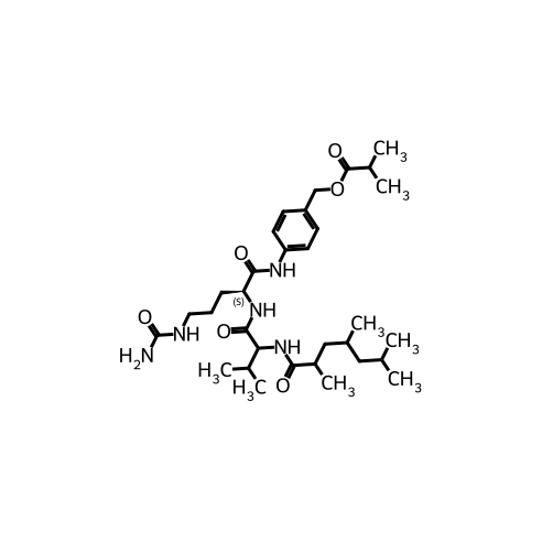 CC(C)CC(C)CC(C)C(=O)NC(C(=O)N[C@@H](CCCNC(N)=O)C(=O)Nc1ccc(COC(=O)C(C)C)cc1)C(C)C